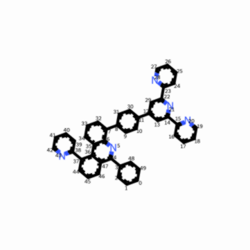 c1ccc(-c2nc3c(-c4ccc(-c5cc(-c6ccccn6)nc(-c6ccccn6)c5)cc4)cccc3c3c(-c4ccccn4)cccc23)cc1